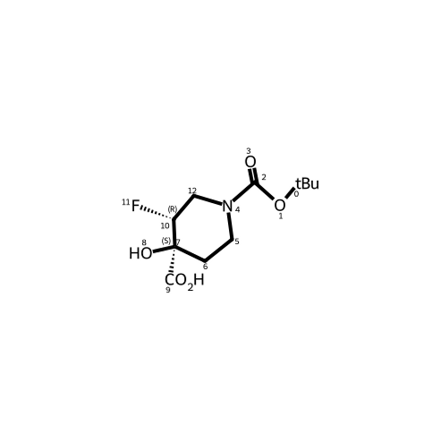 CC(C)(C)OC(=O)N1CC[C@](O)(C(=O)O)[C@H](F)C1